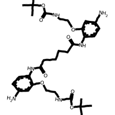 CC(C)(C)OC(=O)NCCOc1cc(N)ccc1NC(=O)CCCCC(=O)Nc1ccc(N)cc1OCCNC(=O)OC(C)(C)C